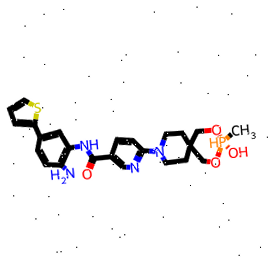 C[PH]1(O)OCC2(CCN(c3ccc(C(=O)Nc4cc(-c5cccs5)ccc4N)cn3)CC2)CO1